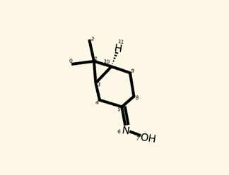 CC1(C)C2C/C(=N/O)CC[C@@H]21